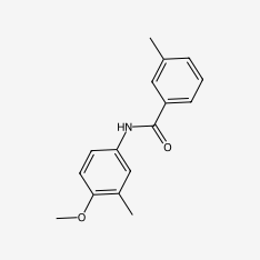 COc1ccc(NC(=O)c2cccc(C)c2)cc1C